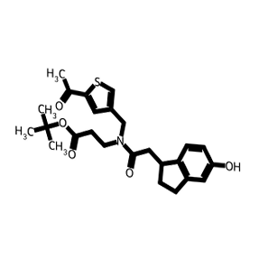 CC(=O)c1cc(CN(CCC(=O)OC(C)(C)C)C(=O)CC2CCc3cc(O)ccc32)cs1